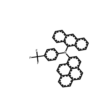 FC(F)(F)c1ccc(N(c2c3ccccc3cc3ccccc23)c2ccc3ccc4cccc5ccc2c3c45)cc1